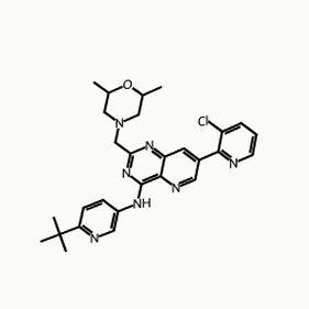 CC1CN(Cc2nc(Nc3ccc(C(C)(C)C)nc3)c3ncc(-c4ncccc4Cl)cc3n2)CC(C)O1